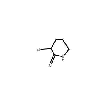 CCC1CCCNC1=O